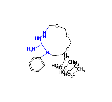 CC(=O)O.CC(=O)O.CC(=O)O.CC(=O)O.NN1NNCCCCCCCCN1c1ccccc1